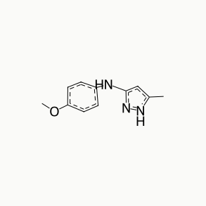 COc1ccc(Nc2cc(C)[nH]n2)cc1